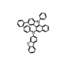 c1ccc(-c2ccc3c(c2)c2c(N(c4ccccc4)c4ccc5c(c4)sc4ccccc45)cc4ccccc4c2n3-c2ccccc2)cc1